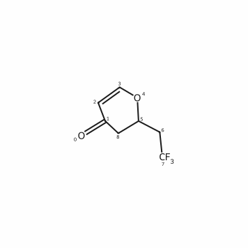 O=C1C=COC(CC(F)(F)F)C1